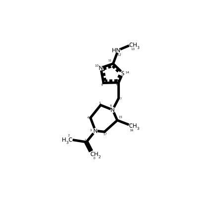 C=C(C)N1CCN(Cc2cnc(NC)s2)C(C)C1